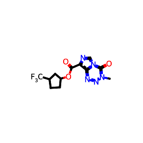 Cn1nnc2c(C(=O)OC3CCC(C(F)(F)F)C3)ncn2c1=O